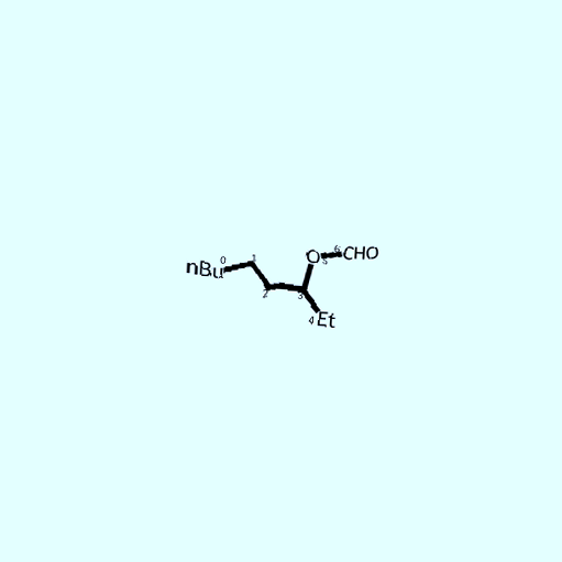 CCCCCCC(CC)OC=O